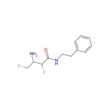 NC(CF)C(F)C(=O)NCCc1ccccc1